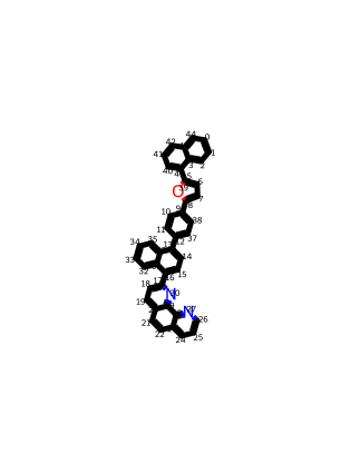 c1ccc2c(-c3ccc(-c4ccc(-c5ccc(-c6ccc7ccc8cccnc8c7n6)c6ccccc56)cc4)o3)cccc2c1